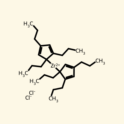 CCCC1=C[C](CCC)([Zr+2][C]2(CCC)C=C(CCC)C=C2CCC)C(CCC)=C1.[Cl-].[Cl-]